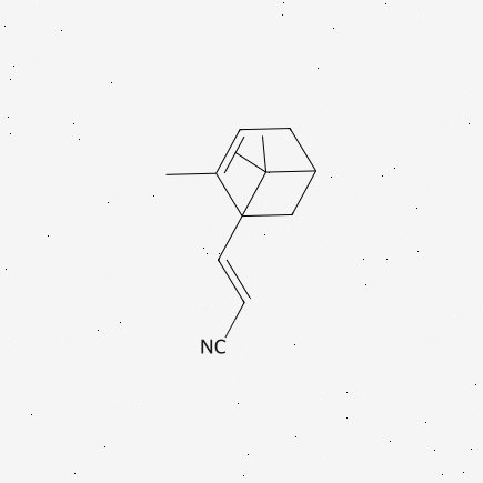 CC1=CCC2CC1(C=CC#N)C2(C)C